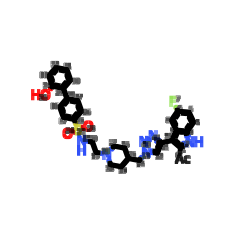 CC(=O)c1[nH]c2ccc(F)cc2c1-c1cn(CC2CCN(CCNS(=O)(=O)c3ccc(-c4ccccc4O)cc3)CC2)nn1